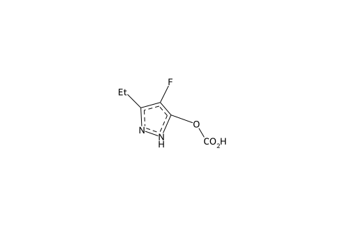 CCc1n[nH]c(OC(=O)O)c1F